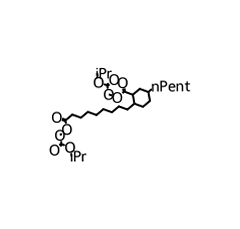 CCCCCC1CCC(CCCCCCCCC(=O)OOC(=O)OC(C)C)C(C(=O)OOC(=O)OC(C)C)C1